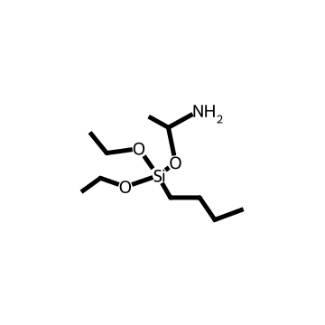 CCCC[Si](OCC)(OCC)OC(C)N